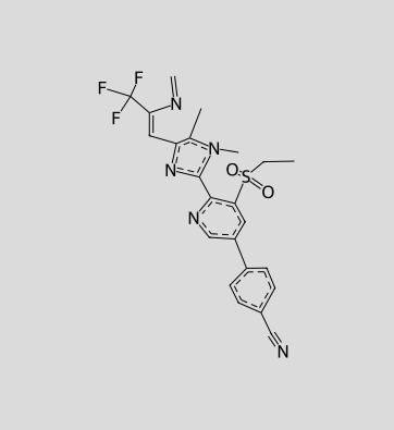 C=N/C(=C\c1nc(-c2ncc(-c3ccc(C#N)cc3)cc2S(=O)(=O)CC)n(C)c1C)C(F)(F)F